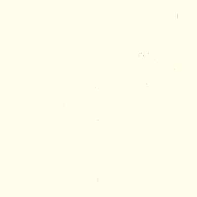 CC(C)(C)OC(=O)NC(CO)c1cccc(-c2cccc(COc3ccccc3CC(=O)O)c2)c1